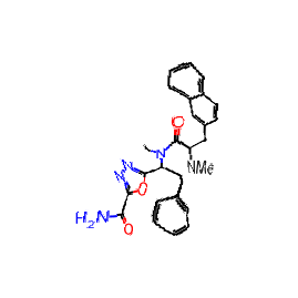 CNC(Cc1ccc2ccccc2c1)C(=O)N(C)C(Cc1ccccc1)c1nnc(C(N)=O)o1